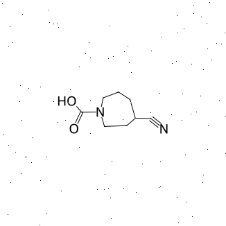 N#CC1CCCN(C(=O)O)CC1